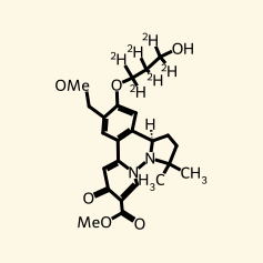 [2H]C([2H])(O)C([2H])([2H])C([2H])([2H])Oc1cc2c(cc1COC)-c1cc(=O)c(C(=O)OC)cn1N1[C@@H]2CCC1(C)C